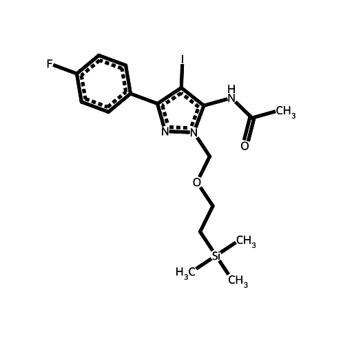 CC(=O)Nc1c(I)c(-c2ccc(F)cc2)nn1COCC[Si](C)(C)C